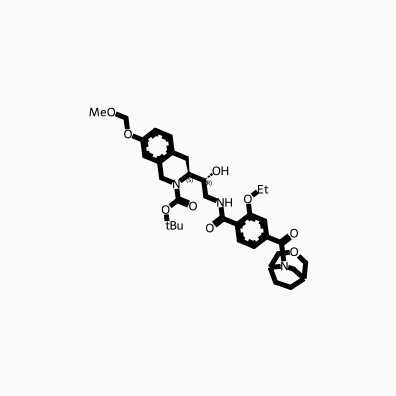 CCOc1cc(C(=O)N2CC3CCC2COC3)ccc1C(=O)NC[C@@H](O)[C@@H]1Cc2ccc(OCOC)cc2CN1C(=O)OC(C)(C)C